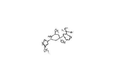 C[C@H]1C[C@@](O)(c2ccnc(C(F)(F)F)c2)C[C@@H](c2cn(C)nn2)N1